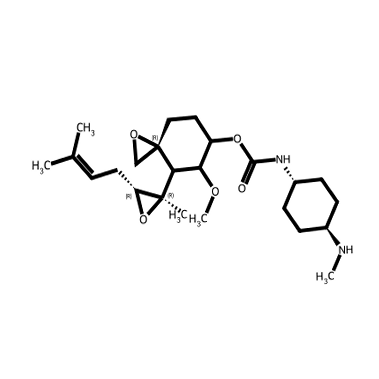 CN[C@H]1CC[C@H](NC(=O)OC2CC[C@]3(CO3)C([C@@]3(C)O[C@@H]3CC=C(C)C)C2OC)CC1